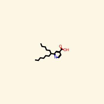 CCCCCCC(CCCCC)c1cc(C(=O)O)ccn1